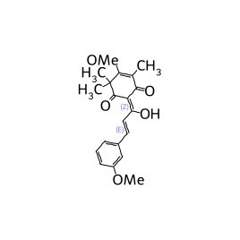 COC1=C(C)C(=O)/C(=C(O)/C=C/c2cccc(OC)c2)C(=O)C1(C)C